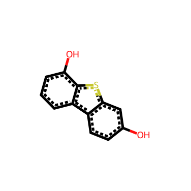 Oc1ccc2c(c1)sc1c(O)cccc12